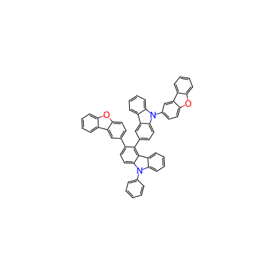 c1ccc(-n2c3ccccc3c3c(-c4ccc5c(c4)c4ccccc4n5-c4ccc5oc6ccccc6c5c4)c(-c4ccc5oc6ccccc6c5c4)ccc32)cc1